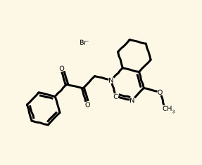 COC1=C2CCCCC2N(CC(=O)C(=O)c2ccccc2)[C+]=N1.[Br-]